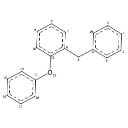 [c]1cc[c]c(Cc2ccccc2Oc2ccccc2)c1